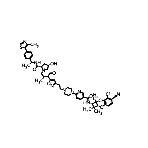 Cc1ncsc1-c1ccc([C@H](C)NC(=O)[C@@H]2C[C@@H](O)CN2CC(C)C(C=O)c2cc(CCN3CCN(c4ccc(C(=O)N[C@H]5C(C)(C)[C@H](Oc6ccc(C#N)c(Cl)c6)C5(C)C)cn4)CC3)no2)cc1